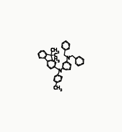 Cc1ccc(N(c2cccc(N(Cc3ccccc3)Cc3ccccc3)c2)c2ccc3c(c2)C(C)(C)c2ccccc2-3)cc1